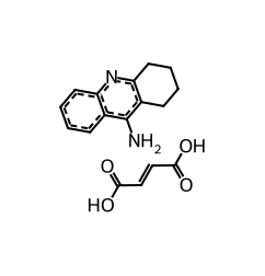 Nc1c2c(nc3ccccc13)CCCC2.O=C(O)C=CC(=O)O